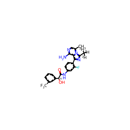 [2H]C([2H])([2H])c1nc(-c2ccc(NC(=O)[C@@H](O)c3cccc(C(F)(F)F)c3)cc2F)c2c(N)ncc(C)n12